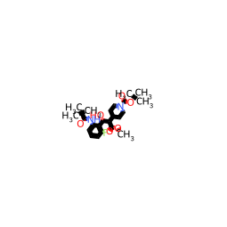 COC(=O)C(C1CCN(C(=O)OC(C)(C)C)CC1)C(O)c1c(F)cccc1NC(=O)C(C)(C)C